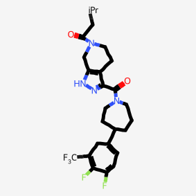 CC(C)CC(=O)N1CCc2c(C(=O)N3CCCC(C4=CC=C(F)C(F)=C(C(F)(F)F)C4)CC3)n[nH]c2C1